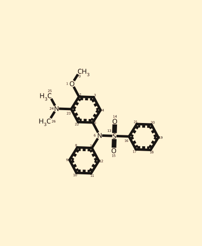 COc1ccc(N(c2ccccc2)S(=O)(=O)c2ccccc2)cc1N(C)C